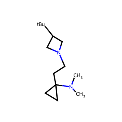 CN(C)C1(CCN2CC(C(C)(C)C)C2)CC1